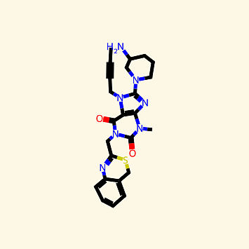 CC#CCn1c(N2CCCC(N)C2)nc2c1c(=O)n(CC1=Nc3ccccc3CS1)c(=O)n2C